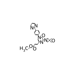 CCOC(=O)/C=C/c1cn(-c2ccc(-c3ncccn3)cc2)c(=O)c(N2CC3(COC3)C2)n1